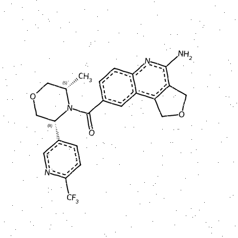 C[C@H]1COC[C@@H](c2ccc(C(F)(F)F)nc2)N1C(=O)c1ccc2nc(N)c3c(c2c1)COC3